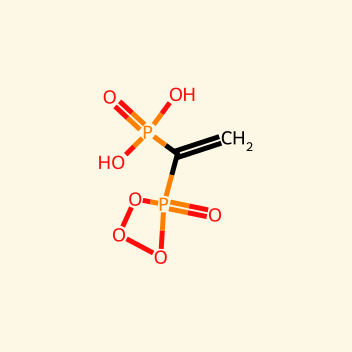 C=C(P(=O)(O)O)P1(=O)OOO1